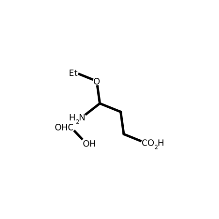 CCOC(N)CCC(=O)O.O=CO